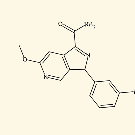 COc1cc2c(cn1)C(c1cccc(I)c1)N=C2C(N)=O